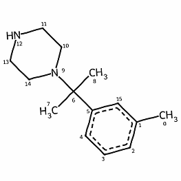 Cc1cccc(C(C)(C)N2CCNCC2)c1